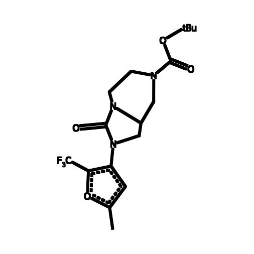 Cc1cc(N2CC3CN(C(=O)OC(C)(C)C)CCN3C2=O)c(C(F)(F)F)o1